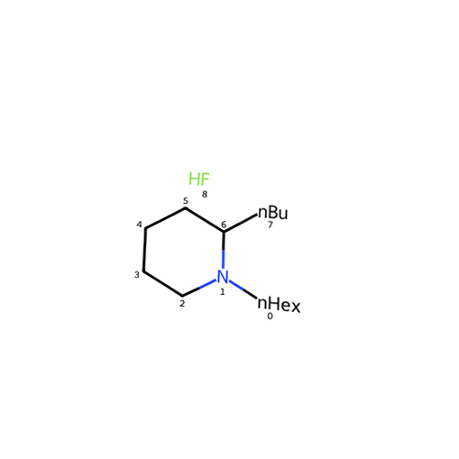 CCCCCCN1CCCCC1CCCC.F